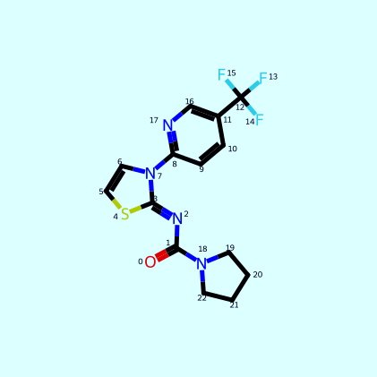 O=C(N=c1sccn1-c1ccc(C(F)(F)F)cn1)N1CCCC1